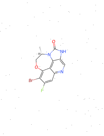 C[C@H]1COc2c(Br)c(F)cc3ncc4[nH]c(=O)n1c4c23